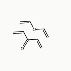 C=CC(=O)C=C.C=COC=C